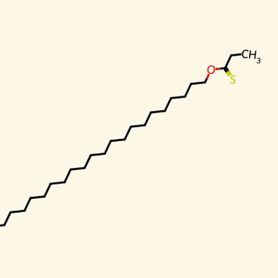 CCCCCCCCCCCCCCCCCCCCCCCOC(=S)CC